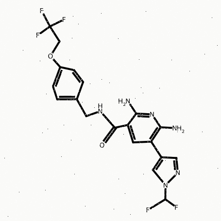 Nc1nc(N)c(-c2cnn(C(F)F)c2)cc1C(=O)NCc1ccc(OCC(F)(F)F)cc1